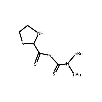 CCCCN(CCCC)C(=S)SC(=S)C1NCCS1